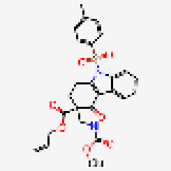 C=CCOC(=O)C1(CNC(=O)OC(C)(C)C)CCc2c(c3ccccc3n2S(=O)(=O)c2ccc(C)cc2)C1=O